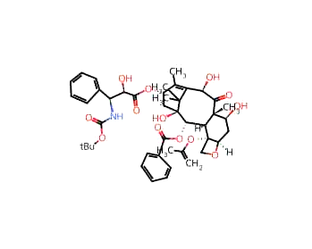 C=C(C)O[C@@]12CO[C@@H]1C[C@H](O)[C@@]1(C)C(=O)[C@H](O)C3=C(C)[C@@H](OC(=O)[C@H](O)[C@@H](NC(=O)OC(C)(C)C)c4ccccc4)C[C@@](O)([C@@H](OC(=O)c4ccccc4)[C@H]21)C3(C)C